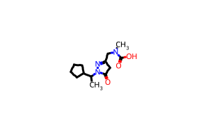 CC(C1CCCC1)N1N=C(CN(C)C(=O)O)CC1=O